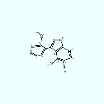 COc1ccccc1-c1c[nH]c2ncc(Br)c([N])c12